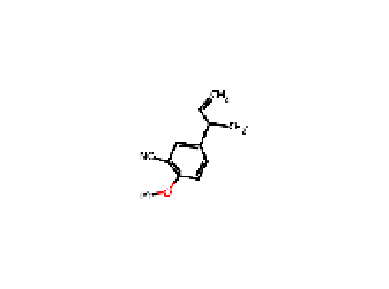 [CH2]C(C=C)c1ccc(OC(C)C)c(C#N)c1